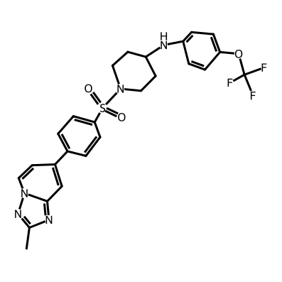 Cc1nc2cc(-c3ccc(S(=O)(=O)N4CCC(Nc5ccc(OC(F)(F)F)cc5)CC4)cc3)ccn2n1